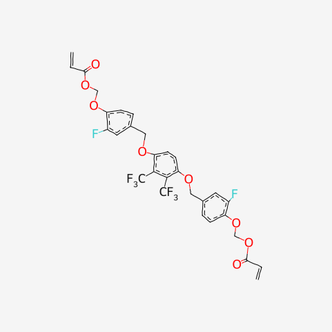 C=CC(=O)OCOc1ccc(COc2ccc(OCc3ccc(OCOC(=O)C=C)c(F)c3)c(C(F)(F)F)c2C(F)(F)F)cc1F